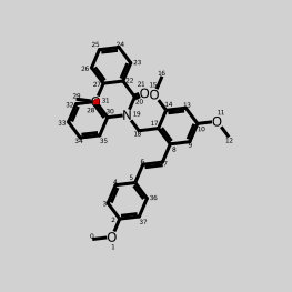 COc1ccc(C=Cc2cc(OC)cc(OC)c2CN(C(=O)c2ccccc2OC)c2ccccc2)cc1